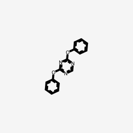 c1ccc(Oc2ncnc(Oc3ccccc3)n2)cc1